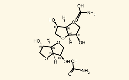 NC(=O)O.NC(=O)O.O[C@@H]1CO[C@H]2[C@@H]1OC[C@@H]2O.O[C@@H]1CO[C@H]2[C@@H]1OC[C@H]2O